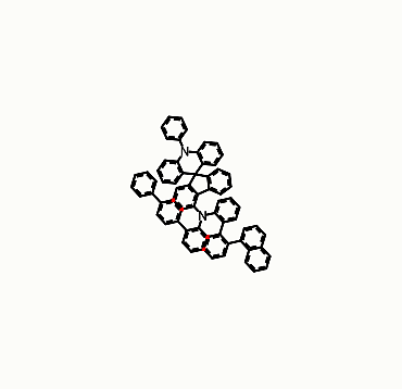 c1ccc(-c2ccc(-c3ccccc3N(c3ccccc3-c3ccccc3-c3cccc4ccccc34)c3cccc4c3-c3ccccc3C43c4ccccc4N(c4ccccc4)c4ccccc43)cc2)cc1